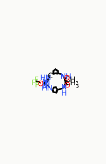 CC1(C)C(=O)NCc2ccc(cc2)Nc2nc(nc(OCC(F)(F)F)n2)NCc2cccc(c2)CNC1=O